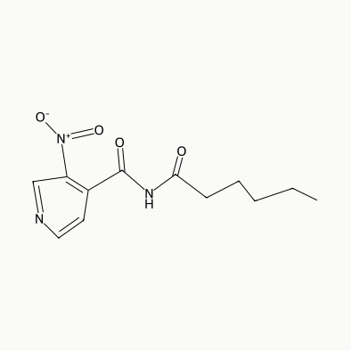 CCCCCC(=O)NC(=O)c1ccncc1[N+](=O)[O-]